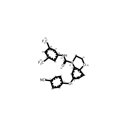 N#Cc1ccc(Oc2ccc3c(c2)N(C(=O)Nc2cc(C(F)(F)F)cc(C(F)(F)F)c2)CCO3)cc1